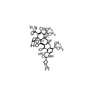 CC(C)N1CC(C(=O)Nc2cc(N(C)C)c3c(c2O)C(=O)C2=C(O)[C@]4(O)C(=O)C(C(N)=O)=C(O)[C@@H](N(C)C)[C@@H]4C[C@@H]2C3)C1